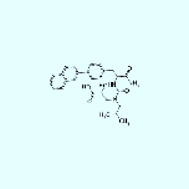 CC(C)CN(CC(O)C(=O)O)C(=O)NC(Cc1ccc(-c2ccc3ccccc3c2)cc1)C(N)=O